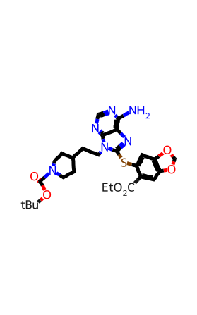 CCOC(=O)c1cc2c(cc1Sc1nc3c(N)ncnc3n1CCC1CCN(C(=O)OC(C)(C)C)CC1)OCO2